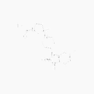 CC1(N2CCC(n3c(=O)[nH]c4ccc(F)cc43)CC2)CCN(C(=O)O)C1